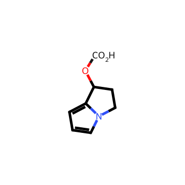 O=C(O)OC1CCn2cccc21